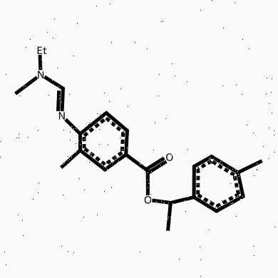 CCN(C)/C=N/c1ccc(C(=O)OC(C)c2ccc(C)cc2)cc1C